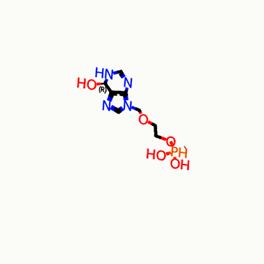 C[PH](O)(O)OCCOCn1cnc2c1N=CN[C@@H]2O